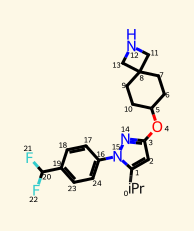 CC(C)c1cc(OC2CCC3(CC2)CNC3)nn1-c1ccc(C(F)F)cc1